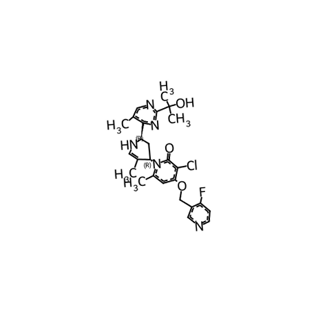 CC1=CN[C@@H](c2nc(C(C)(C)O)ncc2C)C[C@H]1n1c(C)cc(OCc2cnccc2F)c(Cl)c1=O